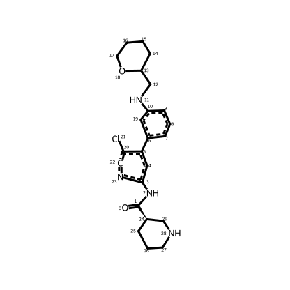 O=C(Nc1cc(-c2cccc(NCC3CCCCO3)c2)c(Cl)cn1)[C@@H]1CCCNC1